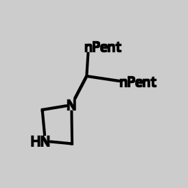 CCCCCC(CCCCC)N1CNC1